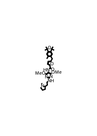 COc1nc(NCCC2CCCN2C)nc(OC)c1NC(=O)c1ccc(Cc2cc3c(cc2C)C(C)(C)OC3(C)C)o1